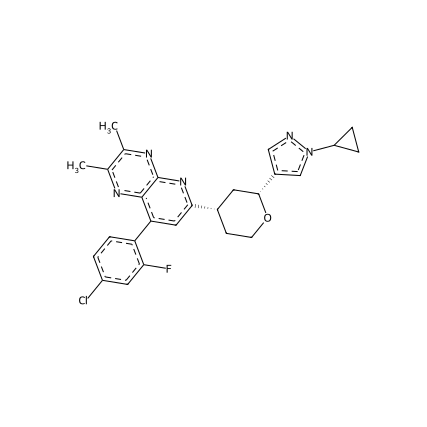 Cc1nc2nc([C@H]3CCO[C@@H](c4cnn(C5CC5)c4)C3)cc(-c3ccc(Cl)cc3F)c2nc1C